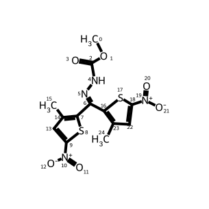 COC(=O)NN=C(c1sc([N+](=O)[O-])cc1C)c1sc([N+](=O)[O-])cc1C